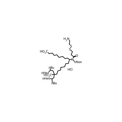 CCCCCCCCCN(C(=O)CCSSCCN)C(CCCCCCCCC(=O)O)CCCCCCCC(CC(CCCC)CCCCCC)(CC(CCCC)CCCCCC)C(=O)O.Cl